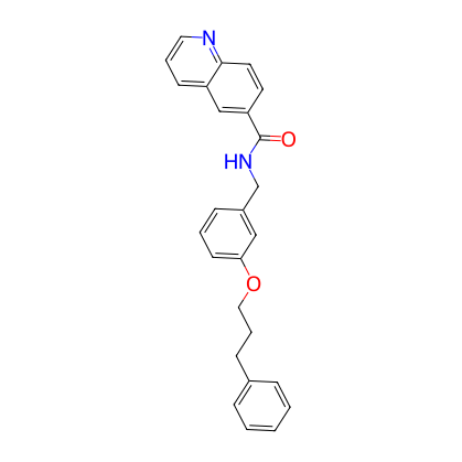 O=C(NCc1cccc(OCCCc2ccccc2)c1)c1ccc2ncccc2c1